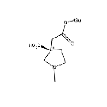 CN1CC[C@](CC(=O)OC(C)(C)C)(C(=O)O)C1